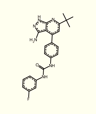 CC(C)(C)c1cc(-c2ccc(NC(=O)Nc3cccc(F)c3)cc2)c2c(N)n[nH]c2n1